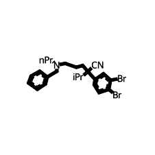 CCCN(CCCC(C#N)(c1ccc(Br)c(Br)c1)C(C)C)Cc1ccccc1